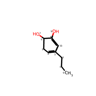 CCCC1=CCC(O)C(O)=C1